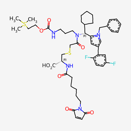 CS(C)(C)CCOC(=O)NCCCN(C(=O)CSC[C@H](NC(=O)CCCCCN1C(=O)C=CC1=O)C(=O)O)[C@@H](c1cc(-c2cc(F)ccc2F)cn1Cc1ccccc1)C1CCCCC1